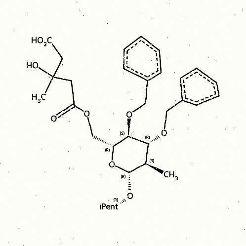 CCC[C@@H](C)O[C@@H]1O[C@H](COC(=O)CC(C)(O)CC(=O)O)[C@@H](OCc2ccccc2)[C@H](OCc2ccccc2)[C@H]1C